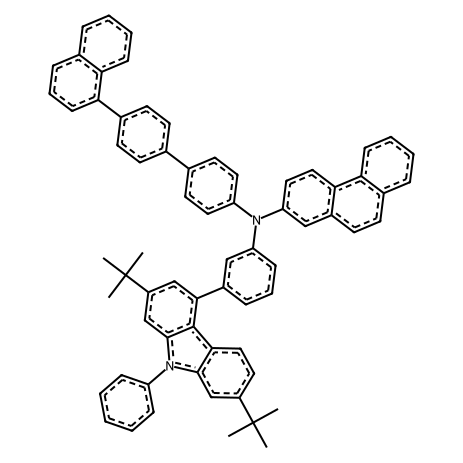 CC(C)(C)c1ccc2c3c(-c4cccc(N(c5ccc(-c6ccc(-c7cccc8ccccc78)cc6)cc5)c5ccc6c(ccc7ccccc76)c5)c4)cc(C(C)(C)C)cc3n(-c3ccccc3)c2c1